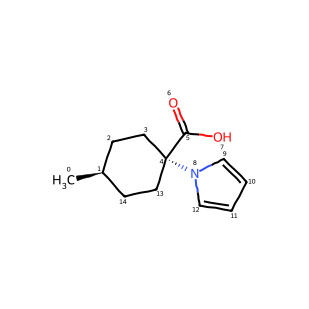 C[C@H]1CC[C@](C(=O)O)(n2cccc2)CC1